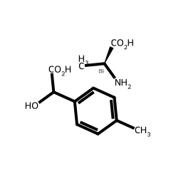 C[C@H](N)C(=O)O.Cc1ccc(C(O)C(=O)O)cc1